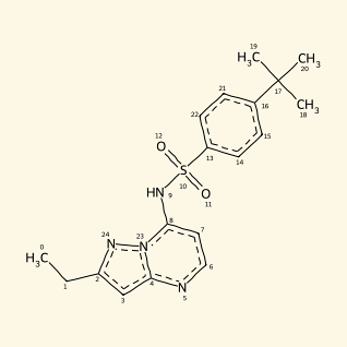 CCc1cc2nccc(NS(=O)(=O)c3ccc(C(C)(C)C)cc3)n2n1